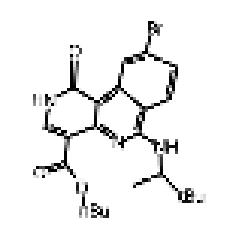 CCCCOC(=O)c1c[nH]c(=O)c2c1nc(NC(C)C(C)(C)C)c1ccc(Br)cc12